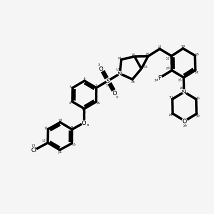 O=S(=O)(c1cccc(Oc2ccc(Cl)cc2)c1)N1CC2C(CC3=C(F)C(N4CCOCC4)=CC[CH]3)C2C1